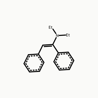 CCN(CC)/C(=C/c1ccccc1)c1ccccc1